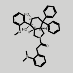 COc1ccccc1[C@@]1(O)[C@H](O)CC(c2ccccc2)(c2ccccc2)[C@@H]2CN(C(=O)Cc3ccccc3N(C)C)C[C@@H]21